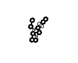 c1ccc(-c2cccc(N(c3ccc4c(c3)Oc3cc5ccccc5cc3O4)c3ccc4c5cccc6cccc(c65)n5c6ccccc6c3c45)c2)cc1